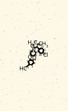 C#Cc1ccc2c(c1)OC1(CCN(C(=O)[C@H](c3ccc(Cl)cc3)C(C)C)CC1)O2